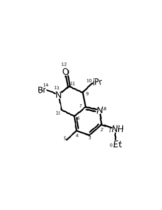 CCNc1cc(C)c2c(n1)C(C(C)C)C(=O)N(Br)C2